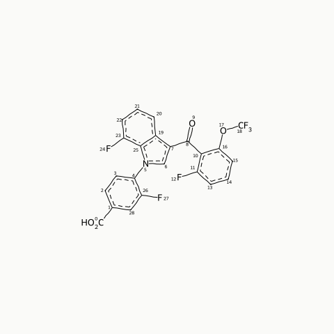 O=C(O)c1ccc(-n2cc(C(=O)c3c(F)cccc3OC(F)(F)F)c3cccc(F)c32)c(F)c1